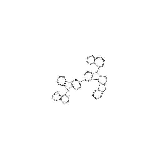 c1ccc2c(c1)Cc1ccc3c(c1-2)-c1cc(-c2ccc4c(c2)c2ccccc2n4-c2cccc4ccccc24)ccc1C3c1cccc2ccccc12